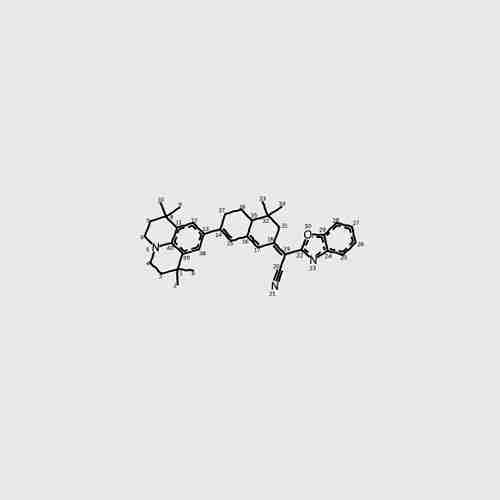 CC1(C)CCN2CCC(C)(C)c3cc(C4=CC5=C/C(=C(\C#N)c6nc7ccccc7o6)CC(C)(C)C5CC4)cc1c32